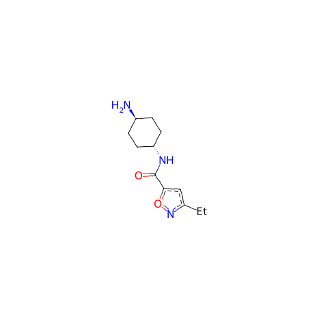 CCc1cc(C(=O)N[C@H]2CC[C@H](N)CC2)on1